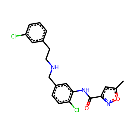 Cc1cc(C(=O)Nc2cc(CNCCc3cccc(Cl)c3)ccc2Cl)no1